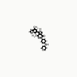 Cc1cc(-c2[nH]nc(C(=O)N[C@H]3CC[C@@H](NC4CCOCC4)CC3)c2C(C)C)cn2ncnc12